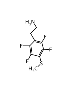 CSc1c(F)c(F)c(CCN)c(F)c1F